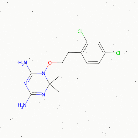 CC1(C)N=C(N)N=C(N)N1OCCc1ccc(Cl)cc1Cl